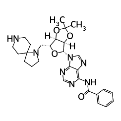 CC1(C)O[C@@H]2[C@H](O1)[C@@H](CN1CCCC13CCNCC3)O[C@H]2n1cnc2c(NC(=O)c3ccccc3)ncnc21